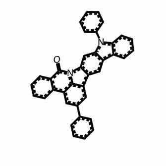 O=c1c2ccccc2c2cc(-c3ccccc3)cc3c4cc5c6ccccc6n(-c6ccccc6)c5cc4n1c23